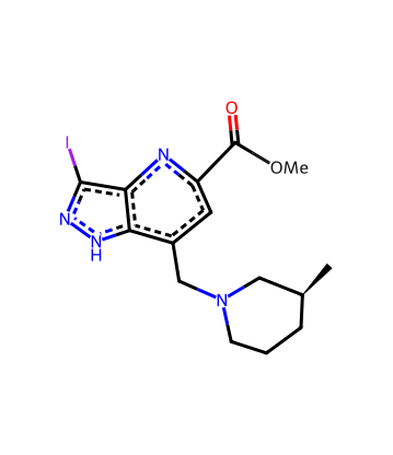 COC(=O)c1cc(CN2CCC[C@H](C)C2)c2[nH]nc(I)c2n1